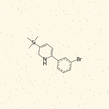 C[Si](C)(C)C1=CC=C(c2cccc(Br)c2)NC1